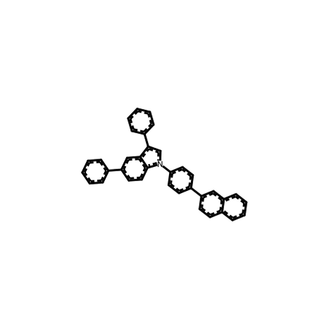 c1ccc(-c2ccc3c(c2)c(-c2ccccc2)cn3-c2ccc(-c3ccc4ccccc4c3)cc2)cc1